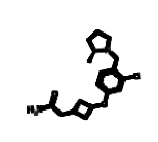 C[C@H]1CCCN1Cc1ccc(OC2CC(CC(N)=O)C2)cc1Cl